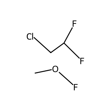 COF.FC(F)CCl